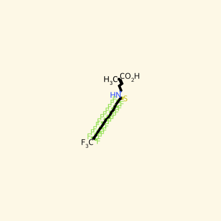 CC(=CCCNC(=S)C(F)(F)C(F)(F)C(F)(F)C(F)(F)C(F)(F)C(F)(F)C(F)(F)C(F)(F)C(F)(F)C(F)(F)C(F)(F)C(F)(F)F)C(=O)O